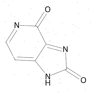 O=C1N=C2C(=O)N=CC=C2N1